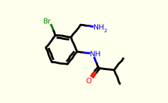 CC(C)C(=O)Nc1cccc(Br)c1CN